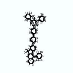 CC1(C)C2=CC3C=CC=CC3C(c3ccccc3)=C2c2ccc(-c3ccc(-c4ccc(-c5nc(-c6ccccc6)c6sc7ccccc7c6n5)cc4)cc3)cc21